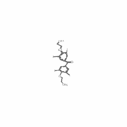 O=C(c1cc(I)c(OCCO)c(I)c1)c1cc(I)c(OCCO)c(I)c1